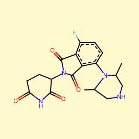 CC1CNCC(C)N1c1ccc(F)c2c1C(=O)N(C1CCC(=O)NC1=O)C2=O